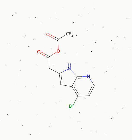 O=C(Cc1cc2c(Br)ccnc2[nH]1)OC(=O)C(F)(F)F